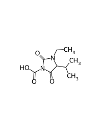 CCN1C(=O)N(C(=O)O)C(=O)C1C(C)C